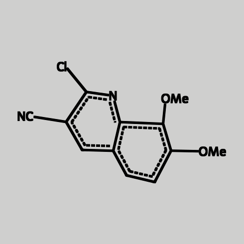 COc1ccc2cc(C#N)c(Cl)nc2c1OC